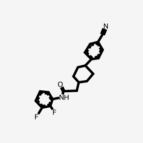 N#Cc1ccc(C2CCC(CC(=O)Nc3cccc(F)c3F)CC2)cc1